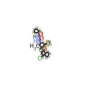 Cc1c(NC(=O)NC(=O)c2c(F)cccc2F)cc(C2SCCS2)c(Oc2ccc(Cl)c3ccccc23)c1Cl